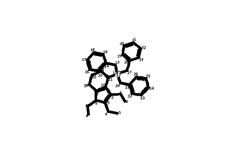 CCC1=C(CC)C(CC)C2=C1[CH]([Ti]([CH2]c1ccccc1)([CH2]c1ccccc1)[CH2]c1ccccc1)CCC2